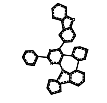 c1ccc(-c2nc(-c3ccc4oc5ccccc5c4c3)c3c(n2)-n2c4ccccc4c4cccc(c42)-c2ccccc2-3)cc1